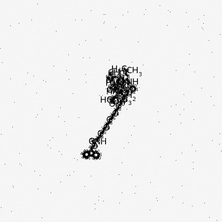 CC(C)CC[C@H](NC(=O)[C@@H]1CCCN1C(=O)CCOCCOCCOCCOCCOCCOCCNC(=O)OCC1c2ccccc2-c2ccccc21)C(=O)N[C@@H](Cc1cncn1C)C(=O)N[C@@H](CO)C(=O)N[C@H](C(N)=O)[C@@H](C)CP(=O)(O)O